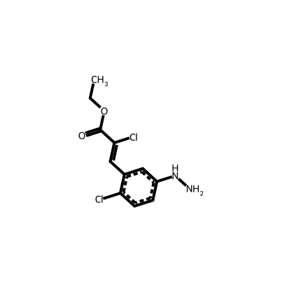 CCOC(=O)C(Cl)=Cc1cc(NN)ccc1Cl